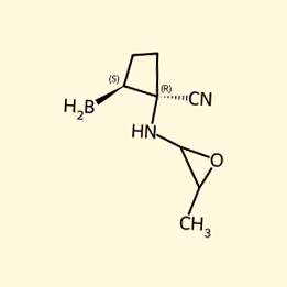 B[C@H]1CC[C@@]1(C#N)NC1OC1C